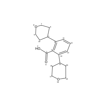 O=C(O)c1c(C2CCOCC2)cccc1C1CCOCC1